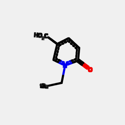 CC(C)(C)Cn1cc(C(=O)O)ccc1=O